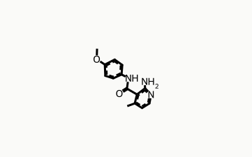 COc1ccc(NC(=O)c2c(C)ccnc2N)cc1